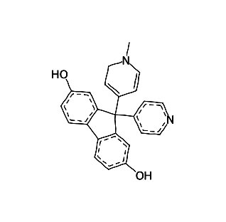 CN1C=CC(C2(c3ccncc3)c3cc(O)ccc3-c3ccc(O)cc32)=CC1